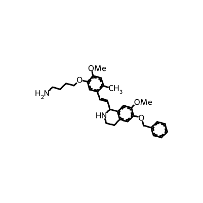 COc1cc(C)c(/C=C/C2NCCc3cc(OCc4ccccc4)c(OC)cc32)cc1OCCCCN